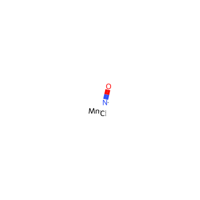 [C].[Mn].[N]=O